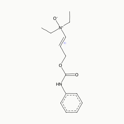 CC[N+]([O-])(/C=C/COC(=O)Nc1ccccc1)CC